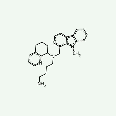 Cn1c2ccccc2c2ccnc(CN(CCCCN)C3CCCc4cccnc43)c21